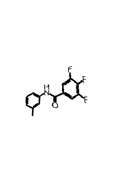 Cc1cccc(NC(=O)c2cc(F)c(F)c(F)c2)c1